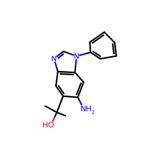 CC(C)(O)c1cc2ncn(-c3ccccc3)c2cc1N